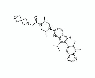 Cc1c(-c2[nH]c3ccc(N4C[C@H](C)N(C(=O)CN5CC6(COC6)C5)C[C@H]4C)nc3c2C(C)C)cn2ncnc2c1C